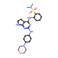 CN(C)S(=O)(=O)c1ccccc1Nc1nc(Nc2ccc(N3CCOCC3)cc2)nc2[nH]ccc12